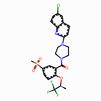 C[C@H](Oc1ccc(S(C)(=O)=O)cc1C(=O)N1CCN(c2ccc3cc(Cl)ccc3n2)CC1)C(F)(F)F